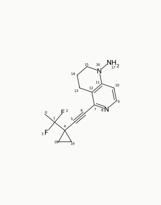 CC(F)(F)C1(C#Cc2nccc3c2CCCN3N)CC1